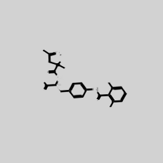 CC1=NOC(C)(C(=O)N[C@@H](Cc2ccc(NC(=O)c3c(Cl)cccc3Cl)cc2)C(=O)O)C1